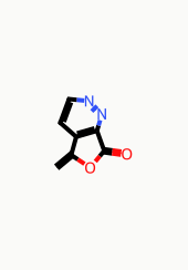 C=C1OC(=O)c2nnccc21